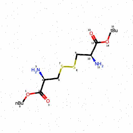 CCCCOC(=O)[C@@H](N)CSSC[C@H](N)C(=O)OC(C)(C)C